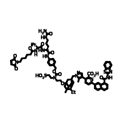 CCC1C2CC3(Cn4ncc(-c5ccc(-c6ccc7cccc(C(=O)Nc8nc9ccccc9s8)c7c6)nc5C(=O)O)c4C)CC(OCCN(CCS(=O)(=O)O)C(=O)OCc4ccc(NC(=O)[C@H](CCCNC(N)=O)NC(=O)[C@@H](NC(=O)CCCCCN5C(=O)C=CC5=O)C(C)C)cc4)(C2)CC1(C)C3